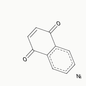 O=C1C=CC(=O)c2ccccc21.[Ni]